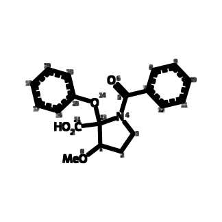 COC1CCN(C(=O)c2ccccc2)C1(Oc1ccccc1)C(=O)O